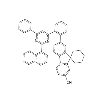 N#Cc1ccc2c(c1)C1(CCCCC1)c1cc(-c3ccccc3-c3cc(-c4ccccc4)nc(-c4cccc5ccccc45)n3)ccc1-2